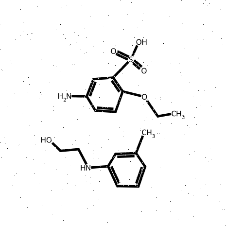 CCOc1ccc(N)cc1S(=O)(=O)O.Cc1cccc(NCCO)c1